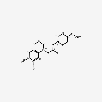 CCCOC1CCN(CC(C)CN2CCCc3cc(F)c(F)cc32)CC1